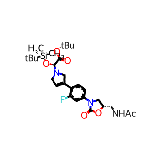 CC(=O)NC[C@H]1CN(c2ccc(C3=CCN([C@@H](O[Si](C)(C)C(C)(C)C)C(=O)OC(C)(C)C)C3)c(F)c2)C(=O)O1